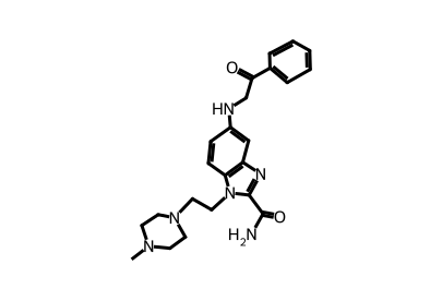 CN1CCN(CCn2c(C(N)=O)nc3cc(NCC(=O)c4ccccc4)ccc32)CC1